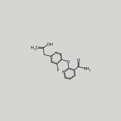 C=C(O)Cc1ccc(Oc2ncccc2C(N)=O)c(F)c1